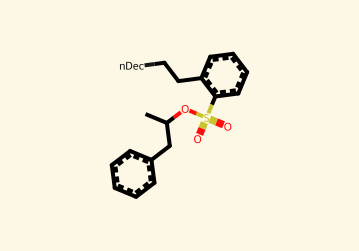 CCCCCCCCCCCCc1ccccc1S(=O)(=O)OC(C)Cc1ccccc1